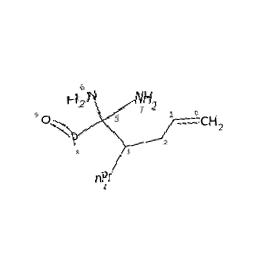 C=CCC(CCC)C(N)(N)P=O